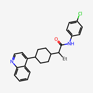 CCC(C(=O)Nc1ccc(Cl)cc1)C1CCC(c2ccnc3ccccc23)CC1